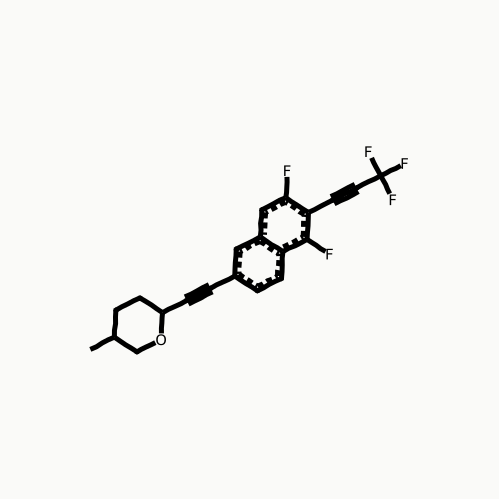 CC1CCC(C#Cc2ccc3c(F)c(C#CC(F)(F)F)c(F)cc3c2)OC1